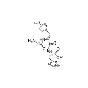 C[C@H](N)C(=O)N[C@@H](Cc1ccc(O)cc1)C(=O)N[C@@H](Cc1c[nH]cn1)C(=O)O